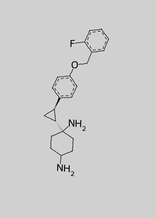 NC1CCC(N)([C@@H]2C[C@H]2c2ccc(OCc3ccccc3F)cc2)CC1